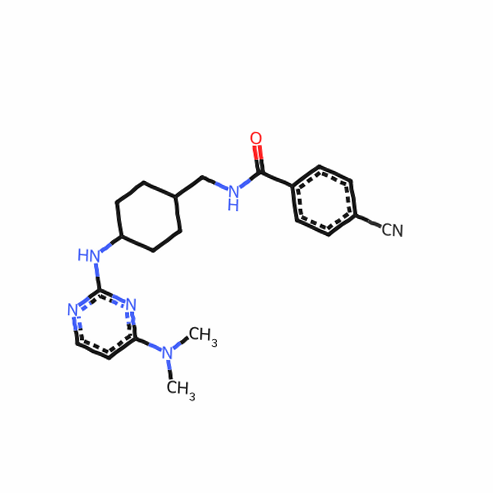 CN(C)c1ccnc(NC2CCC(CNC(=O)c3ccc(C#N)cc3)CC2)n1